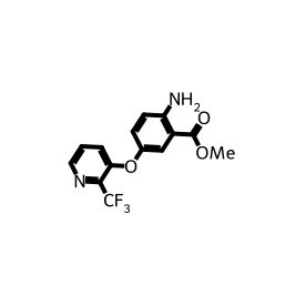 COC(=O)c1cc(Oc2cccnc2C(F)(F)F)ccc1N